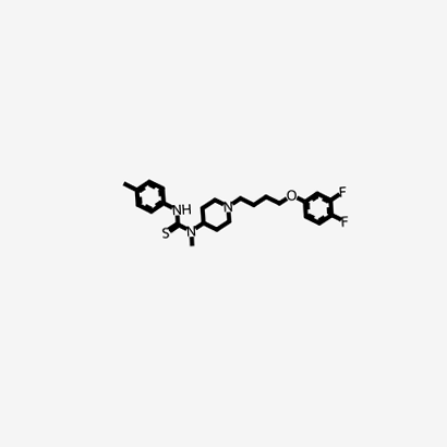 Cc1ccc(NC(=S)N(C)C2CCN(CCCCOc3ccc(F)c(F)c3)CC2)cc1